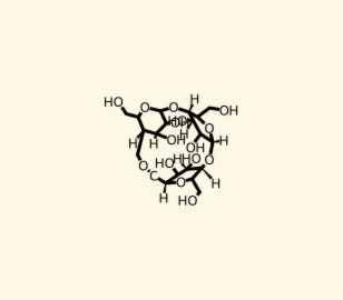 OCC1OC2O[C@@H]3C(CO)O[C@H](O[C@@H]4C(CO)O[C@H](COC[C@H]1[C@@H](O)C2O)C(O)[C@@H]4O)C(O)[C@@H]3O